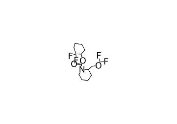 O=C(OC1CCCCC1(F)F)N1CCCCC1COC(F)F